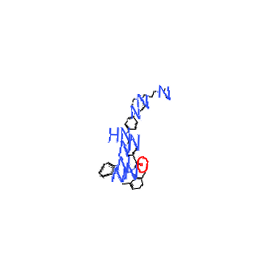 Cc1cccc(C)c1-n1c(=O)c2cnc(Nc3ccc(N4CCN(CCCN(C)C)CC4)cc3)nc2n2c3ccccc3nc12